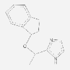 CC(OC1CCc2ccccc21)c1ncc[nH]1